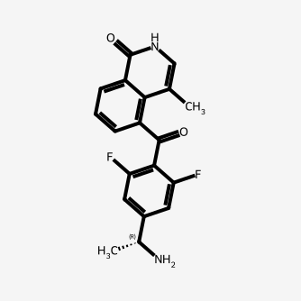 Cc1c[nH]c(=O)c2cccc(C(=O)c3c(F)cc([C@@H](C)N)cc3F)c12